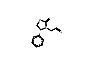 O=C1OC[C@@H](c2ccccc2)N1CC=S